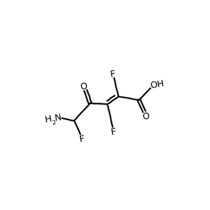 NC(F)C(=O)C(F)=C(F)C(=O)O